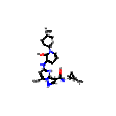 CNc1cc(Nc2cccn(C3CCC(OC)CC3)c2=O)nc2c(C(=O)N[C@@H]3C[C@H]3OC)cnn12